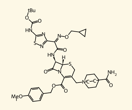 COc1ccc(COC(=O)C2=C(C[N+]34CCC(C(N)=O)(CC3)CC4)CS[C@H]3[C@H](NC(=O)/C(=N\OCC4CC4)c4nsc(NC(=O)OC(C)(C)C)n4)C(=O)N23)cc1.[I-]